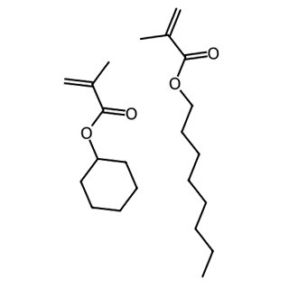 C=C(C)C(=O)OC1CCCCC1.C=C(C)C(=O)OCCCCCCCC